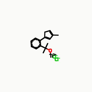 CC1=CCC(c2ccccc2C(C)(C)[O][Ti+2])=C1.[Cl-].[Cl-]